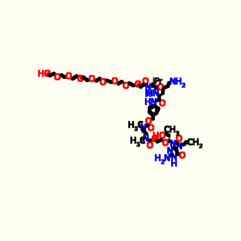 C=CCn1c(=O)n([C@@H](C[C@@H](C)O)OCCOC(=O)N(C)CCN(C)C(=O)OCc2ccc(NC(=O)[C@H](CCCCN)NC(=O)C(NC(=O)COCCOCCOCCOCCOCCOCCOCCOCCO)C(C)C)cc2)c2nc(N)[nH]c(=O)c21